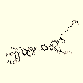 CCCCCCCC(=O)N[C@H](CC(N)=O)C(O)Nc1ccc(COC(=O)Nc2nc(=O)n([C@@H]3O[C@H](C)C(O)[C@@H]3O)cc2F)cc1